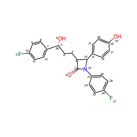 O=C1C(CC[C@@H](O)c2ccc(F)cc2)C(c2ccc(O)cc2)N1c1ccc(F)cc1